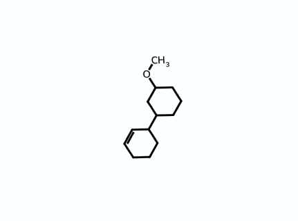 COC1CCCC(C2C=CCCC2)C1